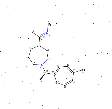 C/C(=N\C(C)C)C1CCCN([C@H](C)C2=CC=C(C(C)C)C=CC2)CC1